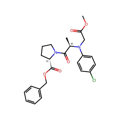 COC(=O)CN(c1ccc(Cl)cc1)[C@H](C)C(=O)N1CCC[C@H]1C(=O)OCc1ccccc1